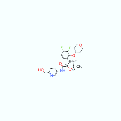 C[C@H]1[C@@H](c2ccc(F)c(F)c2OC2CCOCC2)[C@H](C(=O)Nc2ccc(CO)nc2)O[C@@]1(C)C(F)(F)F